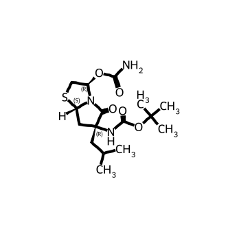 CC(C)C[C@@]1(NC(=O)OC(C)(C)C)C[C@@H]2SC[C@@H](OC(N)=O)N2C1=O